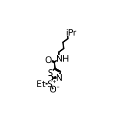 CC[S+]([O-])c1ncc(C(=O)NCCCCC(C)C)s1